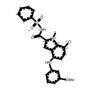 COc1cccc(Nc2ccc(Cl)c3c2cc(C(=O)NS(=O)(=O)c2ccccc2)n3C)c1